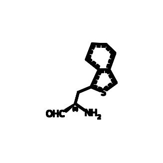 N[C@@H](C=O)Cc1scc2ccccc12